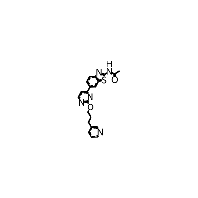 CC(=O)Nc1nc2ccc(-c3ccnc(OCCCc4cccnc4)n3)cc2s1